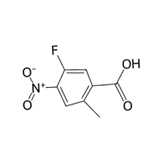 Cc1cc([N+](=O)[O-])c(F)cc1C(=O)O